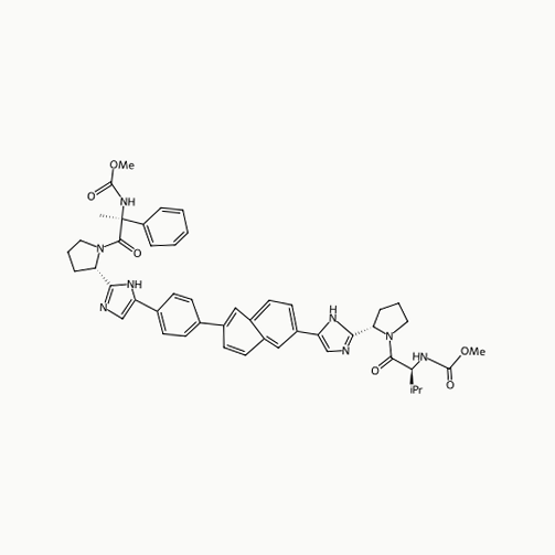 COC(=O)N[C@H](C(=O)N1CCC[C@H]1c1ncc(-c2ccc3cc(-c4ccc(-c5cnc([C@@H]6CCCN6C(=O)[C@@](C)(NC(=O)OC)c6ccccc6)[nH]5)cc4)ccc3c2)[nH]1)C(C)C